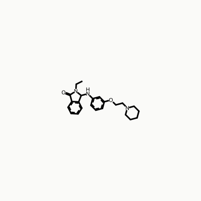 CCN1C(=O)c2ccccc2C1Nc1cccc(OCCN2CCCCC2)c1